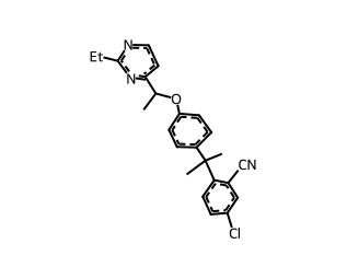 CCc1nccc(C(C)Oc2ccc(C(C)(C)c3ccc(Cl)cc3C#N)cc2)n1